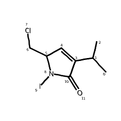 CC(C)C1=CC(CCl)N(I)C1=O